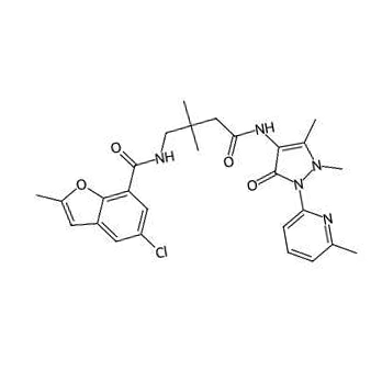 Cc1cccc(-n2c(=O)c(NC(=O)CC(C)(C)CNC(=O)c3cc(Cl)cc4cc(C)oc34)c(C)n2C)n1